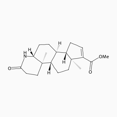 COC(=O)C1=CC[C@H]2[C@@H]3CC[C@H]4NC(=O)CC[C@]4(C)[C@H]3CC[C@]12C